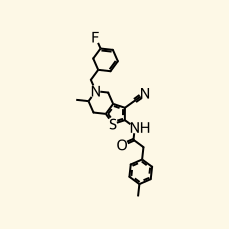 Cc1ccc(CC(=O)Nc2sc3c(c2C#N)CN(CC2C=CC=C(F)C2)C(C)C3)cc1